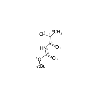 CC(Cl)C(=O)NC(=O)OC(C)(C)C